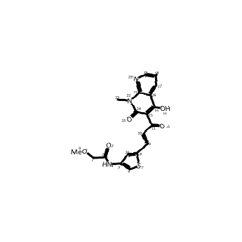 COCC(=O)Nc1csc(C=CC(=O)c2c(O)c3cccnc3n(C)c2=O)c1